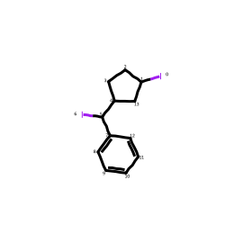 IC1CCC(C(I)c2ccccc2)C1